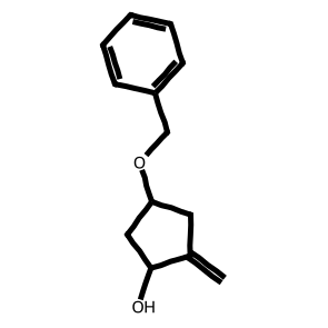 C=C1CC(OCc2ccccc2)CC1O